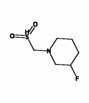 O=[SH](=O)CN1CCCC(F)C1